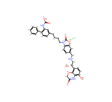 F.F.O=C(O)Nc1cc(CCCCn2c(=O)oc3cc(CNC[C@@H](O)c4ccc(O)c5c4OCC(=O)N5)ccc32)ccc1-c1ccccc1